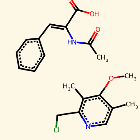 CC(=O)NC(=Cc1ccccc1)C(=O)O.COc1c(C)cnc(CCl)c1C